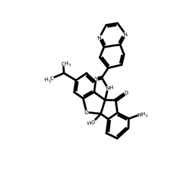 CC(C)c1ccc2c(c1)OC1(O)c3cccc(N)c3C(=O)C21NC(=O)c1ccc2nccnc2c1